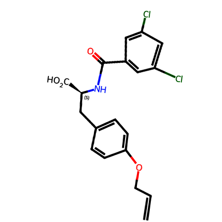 C=CCOc1ccc(C[C@H](NC(=O)c2cc(Cl)cc(Cl)c2)C(=O)O)cc1